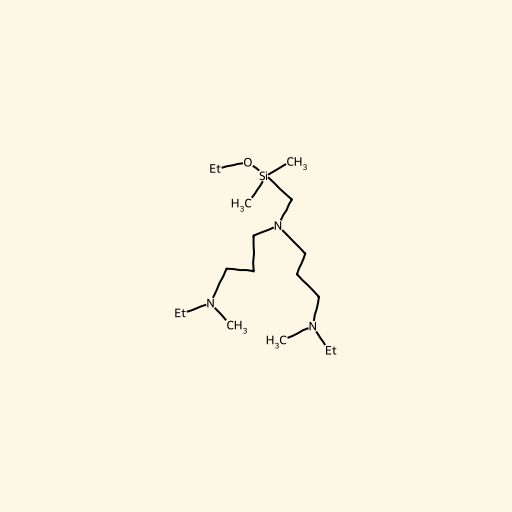 CCO[Si](C)(C)CN(CCCN(C)CC)CCCN(C)CC